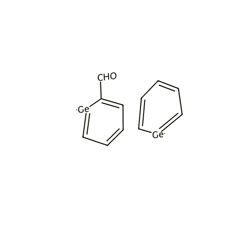 C1=C[CH]=[Ge][CH]=C1.O=C[C]1=CC=C[CH]=[Ge]1